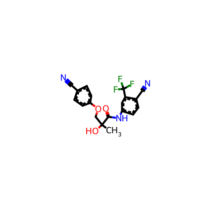 CC(O)(COc1ccc(C#N)cc1)C(=O)Nc1ccc(C#N)c(C(F)(F)F)c1